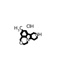 Cc1cc2c3c(c1)c1c(n3CCOC2)CCNC1.Cl